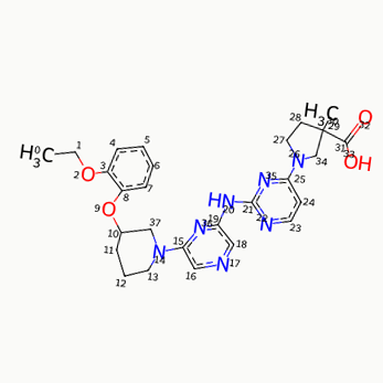 CCOc1ccccc1OC1CCCN(c2cncc(Nc3nccc(N4CCC(C)(C(=O)O)C4)n3)n2)C1